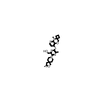 Cc1nc(N2CCC3(CC2)CO[C@@H](C)C3)c(CO)nc1Sc1ccnc2c1OCC1(CCC1)N2C